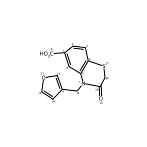 O=C(O)c1ccc2c(c1)N(Cc1ccoc1)C(=O)CS2